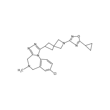 CN1Cc2cc(Cl)ccc2-n2c(nnc2C2CC3(C2)CN(c2noc(C4CC4)n2)C3)C1